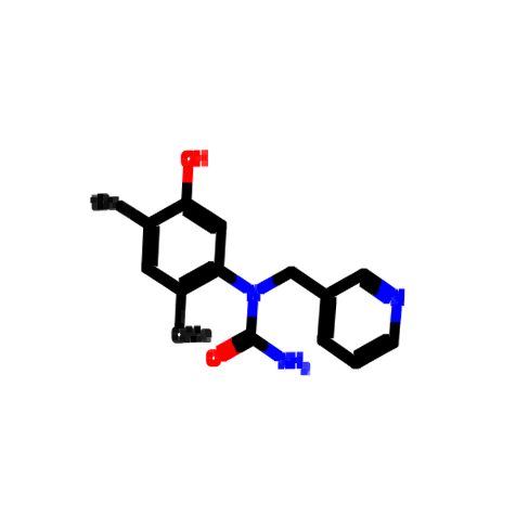 COc1cc(C(C)(C)C)c(O)cc1N(Cc1cccnc1)C(N)=O